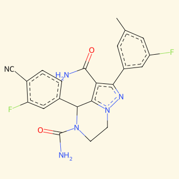 Cc1cc(F)cc(-c2nn3c(c2C(N)=O)C(c2ccc(C#N)c(F)c2)N(C(N)=O)CC3)c1